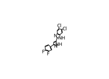 Fc1ccc(-c2cc(-c3nc4cc(Cl)c(Cl)cc4[nH]3)[nH]n2)cc1F